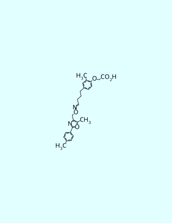 Cc1ccc(-c2nc(CON=CCCCc3ccc(OCC(=O)O)c(C)c3)c(C)o2)cc1